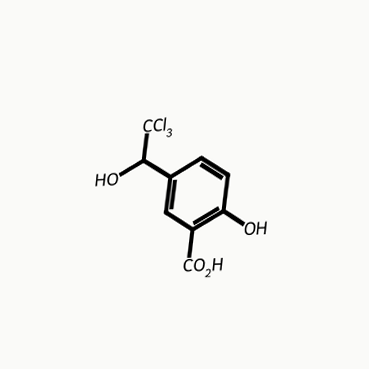 O=C(O)c1cc(C(O)C(Cl)(Cl)Cl)ccc1O